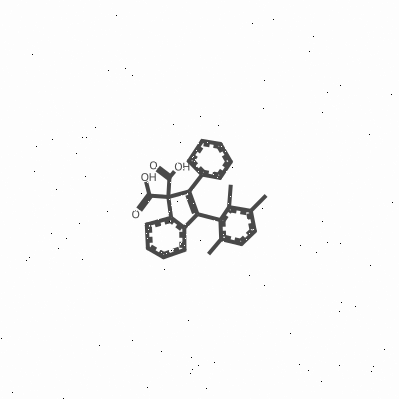 Cc1ccc(C)c(C2=C(c3ccccc3)C(C(=O)O)(C(=O)O)c3ccccc32)c1C